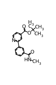 CNC(=O)c1cccc(-c2cc(C(=O)OC(C)(C)C)ccn2)c1